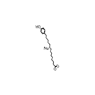 O=C([O-])CCCCCCCCCCCCCCc1ccc(O)cc1.[Na+]